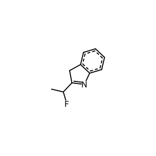 CC(F)C1=Nc2ccccc2C1